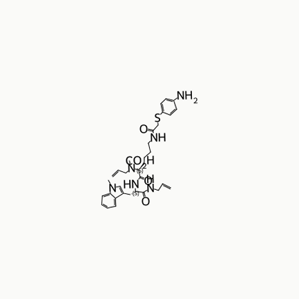 C=CCNC(=O)[C@H](Cc1cn(C)c2ccccc12)NC(=O)[C@H](CCCCNC(=O)CSc1ccc(N)cc1)N(CC=C)C(=O)O